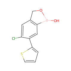 OB1OCc2cc(Cl)c(-c3cccs3)cc21